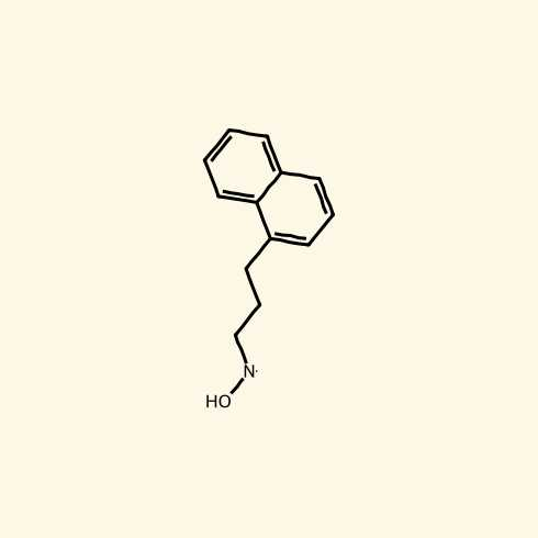 O[N]CCCc1cccc2ccccc12